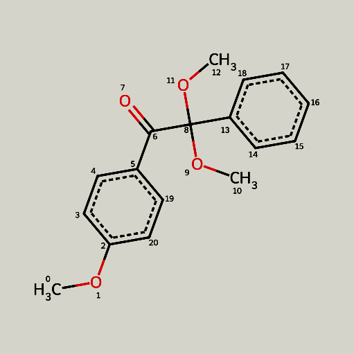 COc1ccc(C(=O)C(OC)(OC)c2ccccc2)cc1